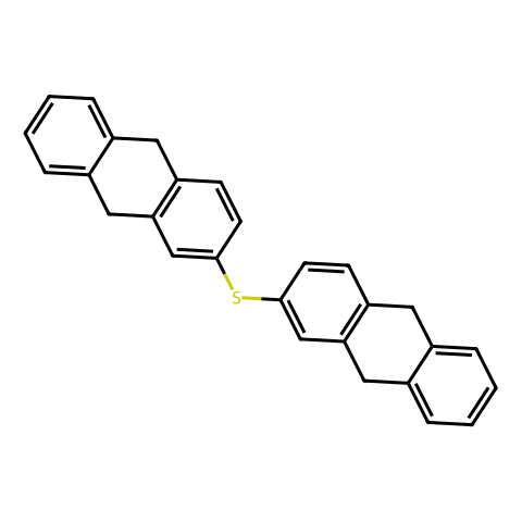 c1ccc2c(c1)Cc1ccc(Sc3ccc4c(c3)Cc3ccccc3C4)cc1C2